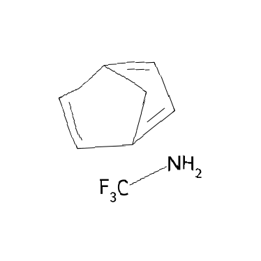 C1=CC2=CC=C1C2.NC(F)(F)F